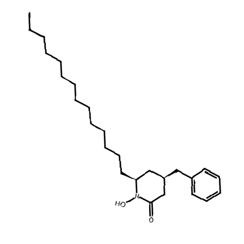 CCCCCCCCCCCCCC[C@H]1C[C@@H](Cc2ccccc2)CC(=O)N1O